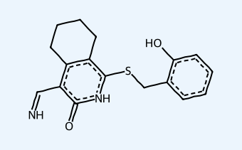 N=Cc1c2c(c(SCc3ccccc3O)[nH]c1=O)CCCC2